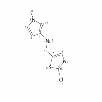 Cn1ccc(NCc2cnc(Cl)s2)n1